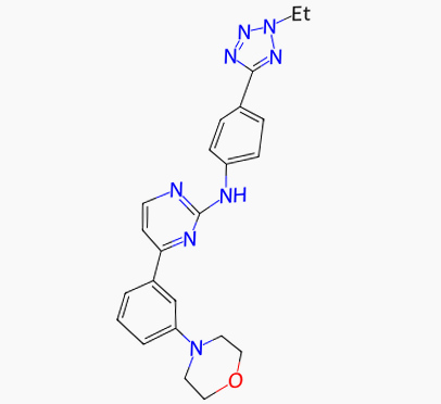 CCn1nnc(-c2ccc(Nc3nccc(-c4cccc(N5CCOCC5)c4)n3)cc2)n1